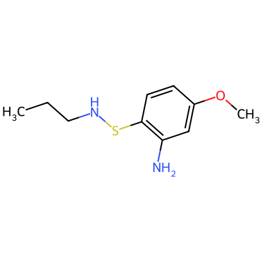 CCCNSc1ccc(OC)cc1N